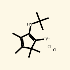 CC1=C(C)C(C)(C)[C]([Ti+2])=C1NC(C)(C)C.[Cl-].[Cl-]